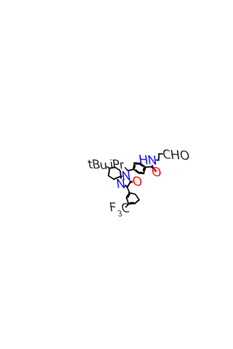 CC(C)C(c1ccc(C(=O)NCCC=O)cc1)N1C(=O)C(C2=CC(C(F)(F)F)=CCC2)=NC12CCC(C(C)(C)C)CC2